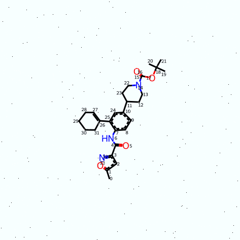 Cc1cc(C(=O)Nc2ccc(C3CCN(C(=O)OC(C)(C)C)CC3)cc2C2=CCCCC2)no1